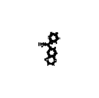 NC(c1ccc2c(c1)OCCO2)c1ccccn1